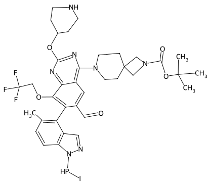 Cc1ccc2c(cnn2PI)c1-c1c(C=O)cc2c(N3CCC4(CC3)CN(C(=O)OC(C)(C)C)C4)nc(OC3CCNCC3)nc2c1OCC(F)(F)F